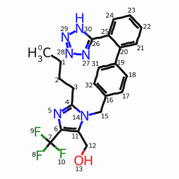 CCCCc1nc(C(F)(F)F)c(CO)n1Cc1ccc(-c2ccccc2-c2nnn[nH]2)cc1